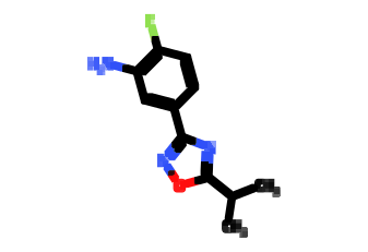 CC(C)c1nc(-c2ccc(F)c(N)c2)no1